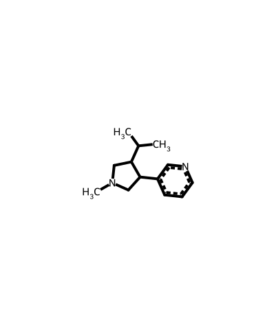 CC(C)C1CN(C)CC1c1cccnc1